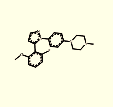 COc1cccc(F)c1-c1ccnn1-c1ccc(N2CCN(C)CC2)cc1